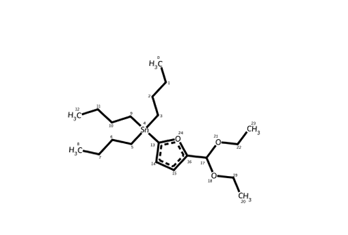 CCC[CH2][Sn]([CH2]CCC)([CH2]CCC)[c]1ccc(C(OCC)OCC)o1